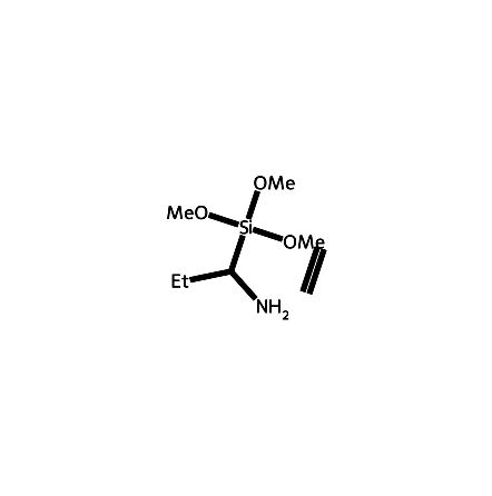 C=C.CCC(N)[Si](OC)(OC)OC